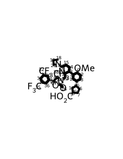 COc1ccc([C@@H]2CC[C@@H](C(=O)O)C2)cc1-c1ccc(N2CCC2)nc1CN1C(=O)O[C@H](c2cc(C(F)(F)F)cc(C(F)(F)F)c2)[C@@H]1C